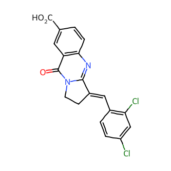 O=C(O)c1ccc2nc3n(c(=O)c2c1)CCC3=Cc1ccc(Cl)cc1Cl